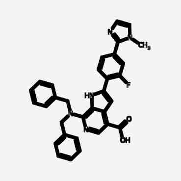 Cn1ccnc1-c1ccc(-c2cc3c(C(=O)O)cnc(N(Cc4ccccc4)Cc4ccccc4)c3[nH]2)c(F)c1